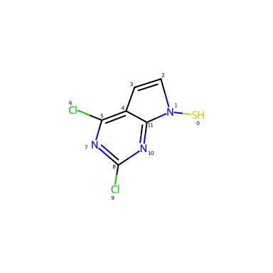 Sn1ccc2c(Cl)nc(Cl)nc21